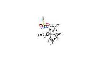 CC(C)c1cccc(C(=O)O)c1-c1cccc(NS(C)(=O)=O)c1